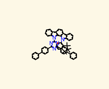 CC1(C)c2cccc(-n3c4ccccc4c4ccc5c6ccccc6n(-c6nc(-c7ccc(-c8ccccc8)cc7)nc(-c7ccc(-c8ccccc8)cc7)n6)c5c43)c2C(C)(C)C1(C)C